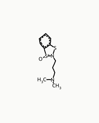 CN(C)CCCN1Sc2ccccc2[S+]1[O-]